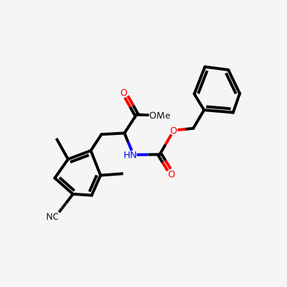 COC(=O)C(Cc1c(C)cc(C#N)cc1C)NC(=O)OCc1ccccc1